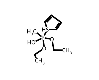 CCOP(C)(O)(OCC)[SH]1C=CC=C1